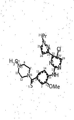 COc1cc(C(=S)N2CCN(C)CC2)ccc1Nc1ncc(Cl)c(-c2ccn(C(C)C)n2)n1